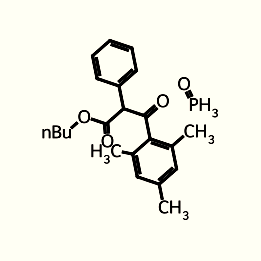 CCCCOC(=O)C(C(=O)c1c(C)cc(C)cc1C)c1ccccc1.O=[PH3]